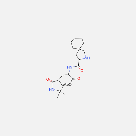 COC(=O)[C@H](CC1CC(C)(C)NC1=O)NC(=O)C1CC2(CCCCC2)CN1